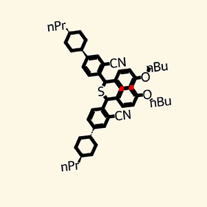 CCCCOc1ccc(C(SC(c2ccc(OCCCC)cc2)c2ccc([C@H]3CC[C@H](CCC)CC3)cc2C#N)c2ccc([C@H]3CC[C@H](CCC)CC3)cc2C#N)cc1